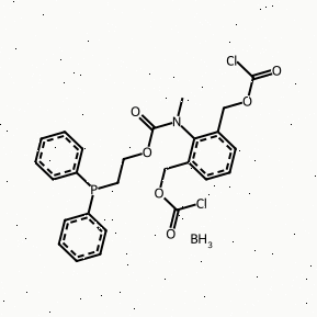 B.CN(C(=O)OCCP(c1ccccc1)c1ccccc1)c1c(COC(=O)Cl)cccc1COC(=O)Cl